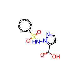 O=C(O)c1ccnn1NS(=O)(=O)c1ccccc1